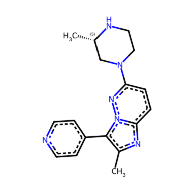 Cc1nc2ccc(N3CCN[C@@H](C)C3)nn2c1-c1ccncc1